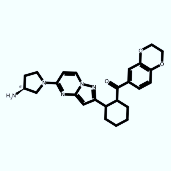 N[C@H]1CCN(c2ccn3nc(C4CCCCC4C(=O)c4ccc5c(c4)OCCO5)cc3n2)C1